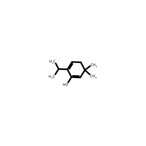 CC(C)C1=CCC(C)(C)C=C1O